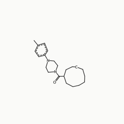 Cc1ccc(N2CCN(C(=O)C3CCCCCCCCC3)CC2)cc1